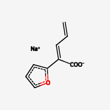 C=CC=C(C(=O)[O-])c1ccco1.[Na+]